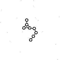 c1ccc(-c2ccc(-c3cccc(-c4cccc(-c5ccc6c(c5)c5cc(-c7ccccc7)cc7c8ccccc8n6c75)c4)c3)cc2)cc1